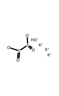 O=S([O-])S(=O)[O-].[K+].[K+].[K+].[OH-]